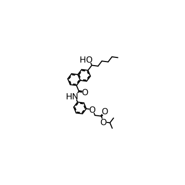 CCCCCC(O)c1ccc2c(C(=O)Nc3cccc(OCC(=O)OC(C)C)c3)cccc2c1